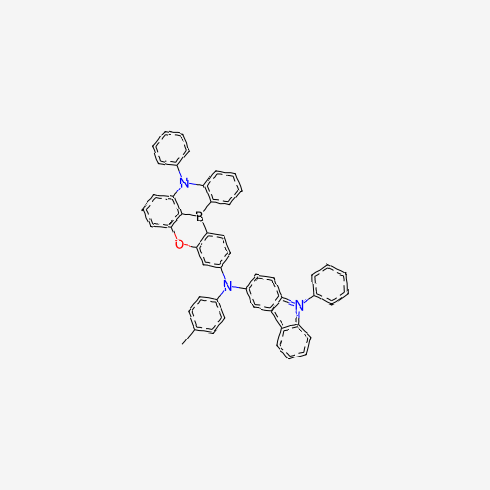 Cc1ccc(N(c2ccc3c(c2)Oc2cccc4c2B3c2ccccc2N4c2ccccc2)c2ccc3c(c2)c2ccccc2n3-c2ccccc2)cc1